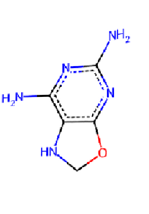 Nc1nc(N)c2c(n1)OCN2